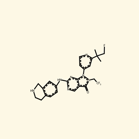 CC(C)(CF)c1cc(-n2c3nc(Nc4ccc5c(c4)CNCC5)ncc3c(=O)n2CC(F)(F)F)ccn1